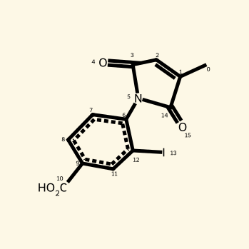 CC1=CC(=O)N(c2ccc(C(=O)O)cc2I)C1=O